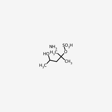 CC(O)CC(C)(C)OS(=O)(=O)O.N